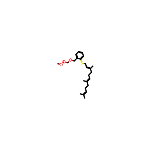 COOCOCc1ccccc1SC/C=C(\C)CC/C=C(\C)CCC=C(C)C